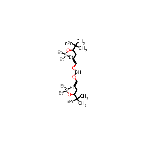 CCCC(C)(C)C(CC=COBOC=CCC(O[Si](CC)(CC)CC)C(C)(C)CCC)O[Si](CC)(CC)CC